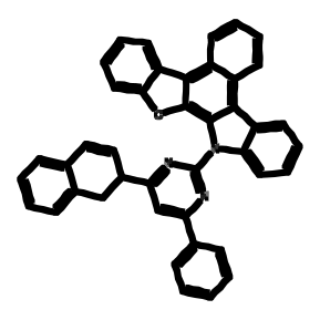 C1=CC(c2cc(-c3ccccc3)nc(-n3c4ccccc4c4c5ccccc5c5c6ccccc6oc5c43)n2)Cc2ccccc21